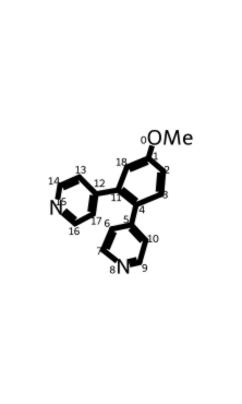 COc1ccc(-c2ccncc2)c(-c2ccncc2)c1